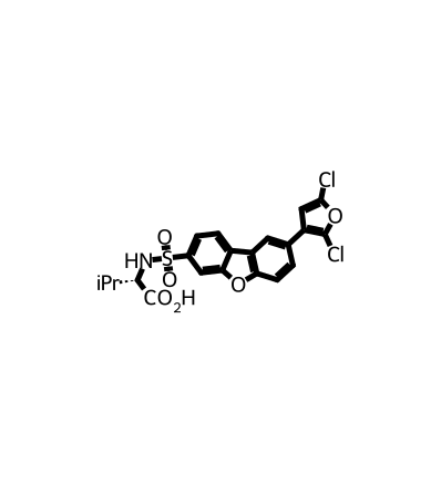 CC(C)[C@H](NS(=O)(=O)c1ccc2c(c1)oc1ccc(-c3cc(Cl)oc3Cl)cc12)C(=O)O